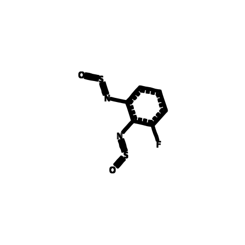 O=S=Nc1cccc(F)c1N=S=O